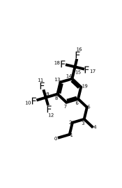 CCCC(C)Cc1cc(C(F)(F)F)cc(C(F)(F)F)c1